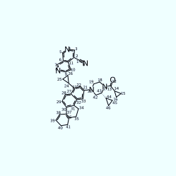 N#Cc1cncc2cnccc12.O=C(C1CC1)N1CCN(c2cc(C3CC3)c3ccc4c(c3c2)CCC2=C4C=CCC2)C[C@H]1C1CC1